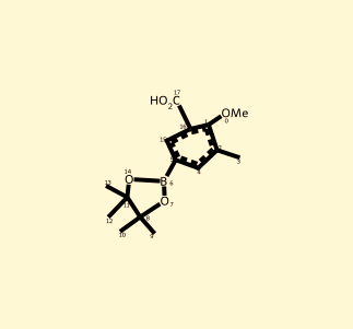 COc1c(C)cc(B2OC(C)(C)C(C)(C)O2)cc1C(=O)O